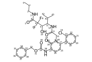 CCCNC(=O)C(F)(F)C(O)C(NC(=O)Cn1c(-c2ccccc2Cl)ccc(NC(=O)OCc2ccccc2)c1=O)C(C)C